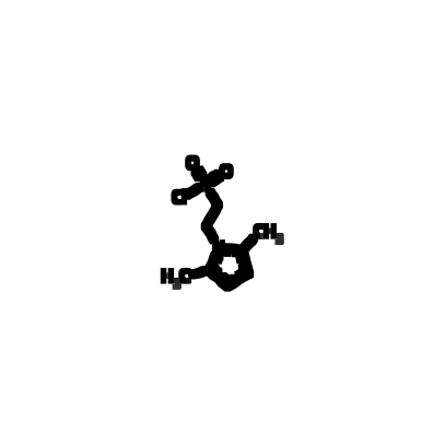 Cc1ccc(C)n1CCS(=O)(=O)Cl